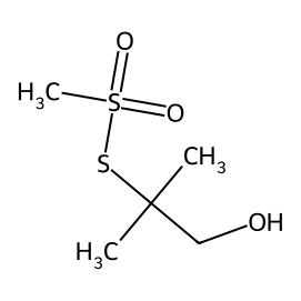 CC(C)(CO)SS(C)(=O)=O